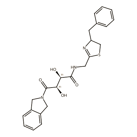 O=C(NCC1=NC(Cc2ccccc2)CS1)[C@H](O)[C@@H](O)C(=O)N1Cc2ccccc2C1